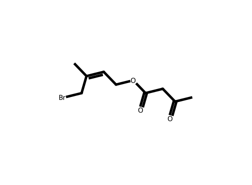 CC(=O)CC(=O)OCC=C(C)CBr